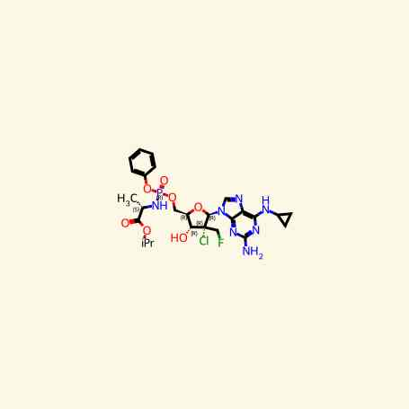 CC(C)OC(=O)[C@H](C)N[P@@](=O)(OC[C@H]1O[C@@H](n2cnc3c(NC4CC4)nc(N)nc32)[C@@](Cl)(CF)[C@@H]1O)Oc1ccccc1